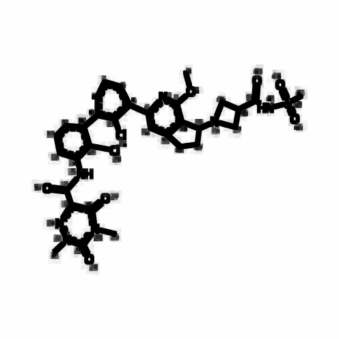 COc1nc(-c2cccc(-c3cccc(NC(=O)c4nn(C)c(=O)n(C)c4=O)c3Cl)c2Cl)cc2c1C(N1CC(C(=O)NS(C)(=O)=O)C1)CC2